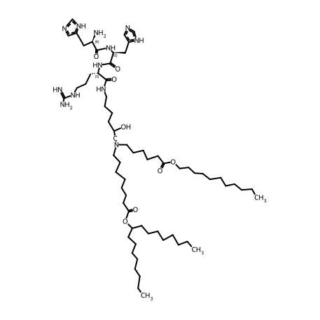 CCCCCCCCCCCOC(=O)CCCCCN(CCCCCCCC(=O)OC(CCCCCCCC)CCCCCCCC)CC(O)CCCCNC(=O)[C@H](CCCNC(=N)N)NC(=O)[C@H](Cc1cnc[nH]1)NC(=O)[C@H](N)Cc1cnc[nH]1